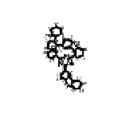 C1=Cc2c(oc3cccc(-c4ccc5oc6cccc(-c7nc(-c8ccccc8)nc(-c8ccc9sc%10ccccc%10c9c8)n7)c6c5c4)c23)CC1